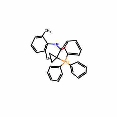 Cc1cccc(C)c1NC(=O)C1([PH](c2ccccc2)(c2ccccc2)c2ccccc2)CC1